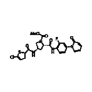 COC(=O)N1C[C@@H](NC(=O)c2ccc(Cl)s2)C[C@H]1C(=O)Nc1ccc(-n2ccccc2=O)cc1F